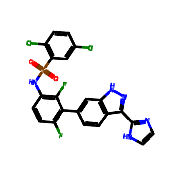 O=S(=O)(Nc1ccc(F)c(-c2ccc3c(-c4ncc[nH]4)n[nH]c3c2)c1F)c1cc(Cl)ccc1Cl